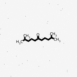 CC(C)CCCC(=O)CCCC(C)C